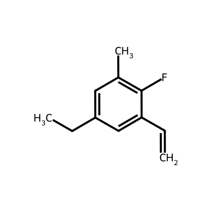 C=Cc1cc(CC)cc(C)c1F